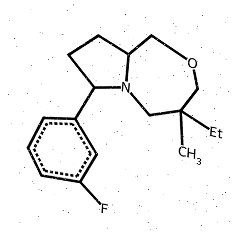 CCC1(C)COCC2CCC(c3cccc(F)c3)N2C1